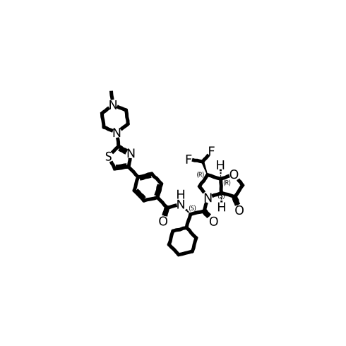 CN1CCN(c2nc(-c3ccc(C(=O)N[C@H](C(=O)N4C[C@@H](C(F)F)[C@H]5OCC(=O)[C@H]54)C4CCCCC4)cc3)cs2)CC1